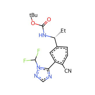 CC[C@@H](NC(=O)OC(C)(C)C)c1ccc(C#N)c(-c2ncnn2C(F)F)c1